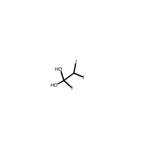 OC(O)(I)C(I)I